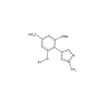 CCOc1cc(C(=O)O)cc(OC)c1-c1cnn(C)c1